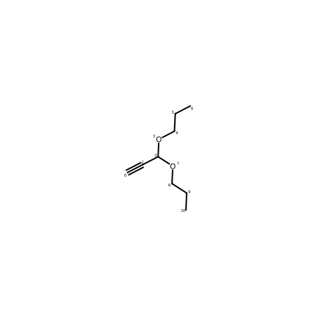 C#CC(OCCC)OCCC